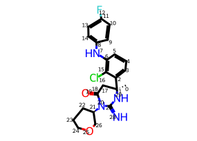 C[C@@]1(c2cccc(Nc3ccc(F)cc3)c2Cl)CC(=O)N([C@@H]2CCCOC2)C(=N)N1